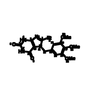 CCc1nc2[nH]c(=O)[nH]c(=O)c2n1Cc1cc(OC)c(OC)c(OC)c1